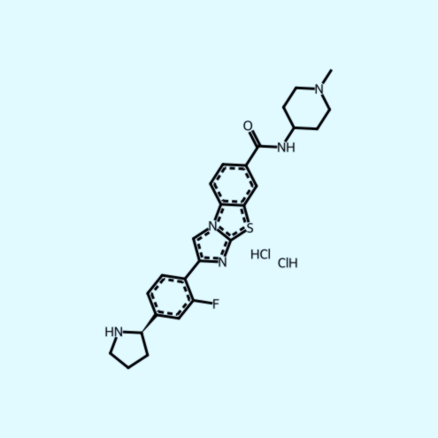 CN1CCC(NC(=O)c2ccc3c(c2)sc2nc(-c4ccc([C@H]5CCCN5)cc4F)cn23)CC1.Cl.Cl